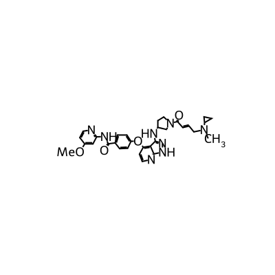 COc1ccnc(NC(=O)c2ccc(Oc3ccnc4[nH]nc(N[C@@H]5CCN(C(=O)C=CCN(C)C6CC6)C5)c34)cc2)c1